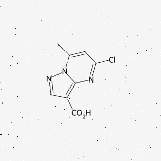 Cc1cc(Cl)nc2c(C(=O)O)cnn12